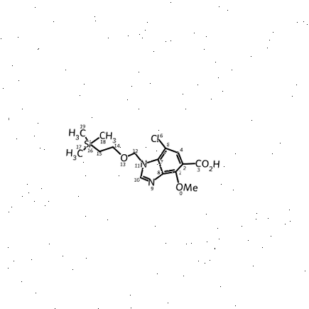 COc1c(C(=O)O)cc(Cl)c2c1ncn2COCC[Si](C)(C)C